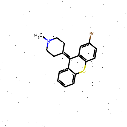 CN1CCC(=C2c3ccccc3Sc3ccc(Br)cc32)CC1